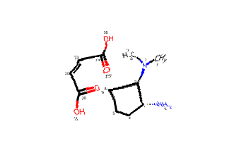 CN(C)[C@@H]1CCC[C@H]1N.O=C(O)/C=C\C(=O)O